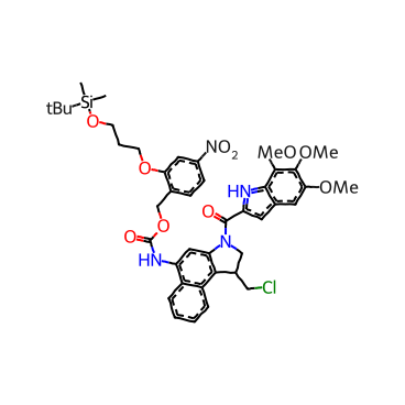 COc1cc2cc(C(=O)N3CC(CCl)c4c3cc(NC(=O)OCc3ccc([N+](=O)[O-])cc3OCCCO[Si](C)(C)C(C)(C)C)c3ccccc43)[nH]c2c(OC)c1OC